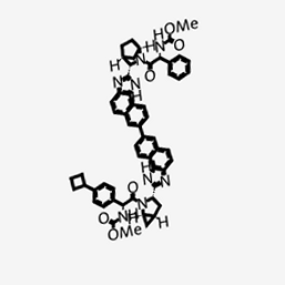 COC(=O)N[C@@H](C(=O)N1[C@@H]2CC[C@@H](C2)[C@H]1c1nc2ccc3cc(-c4ccc5c(ccc6nc([C@@H]7C[C@H]8C[C@H]8N7C(=O)[C@H](NC(=O)OC)c7ccc(C8CCC8)cc7)[nH]c65)c4)ccc3c2[nH]1)c1ccccc1